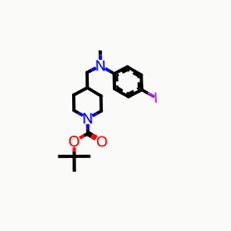 CN(CC1CCN(C(=O)OC(C)(C)C)CC1)c1ccc(I)cc1